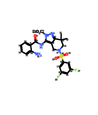 CCOC(=O)n1nc2c(c1NC(=O)c1ccccc1N)CN(S(=O)(=O)c1cc(F)cc(F)c1)CC2(C)C